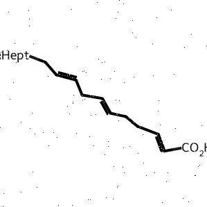 CCCCCCCCC=CCC=CCCC=CC(=O)O